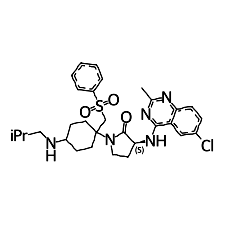 Cc1nc(N[C@H]2CCN(C3(CS(=O)(=O)c4ccccc4)CCC(NCC(C)C)CC3)C2=O)c2cc(Cl)ccc2n1